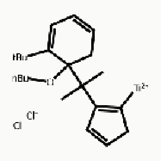 CCCCOC1(C(C)(C)C2=[C]([Ti+2])CC=C2)CC=CC=C1C(C)(C)C.[Cl-].[Cl-]